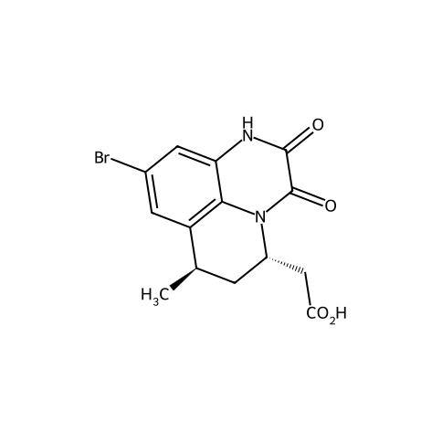 C[C@@H]1C[C@@H](CC(=O)O)n2c(=O)c(=O)[nH]c3cc(Br)cc1c32